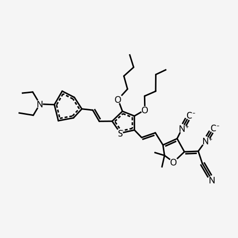 [C-]#[N+]C1=C(/C=C/c2sc(/C=C/c3ccc(N(CC)CC)cc3)c(OCCCC)c2OCCCC)C(C)(C)O/C1=C(\C#N)[N+]#[C-]